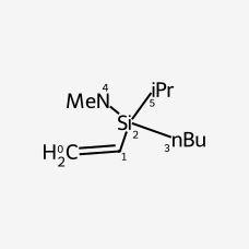 C=C[Si](CCCC)(NC)C(C)C